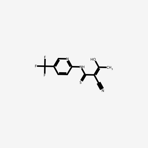 CC(O)=C(C#N)C(=S)Nc1ccc(C(F)(F)F)cn1